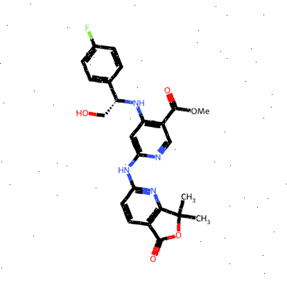 COC(=O)c1cnc(Nc2ccc3c(n2)C(C)(C)OC3=O)cc1N[C@H](CO)c1ccc(F)cc1